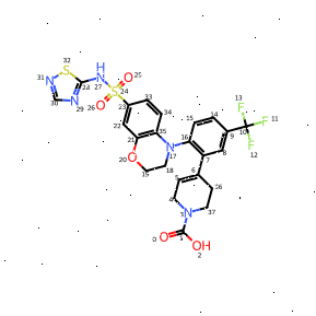 O=C(O)N1CC=C(c2cc(C(F)(F)F)ccc2N2CCOc3cc(S(=O)(=O)Nc4ncns4)ccc32)CC1